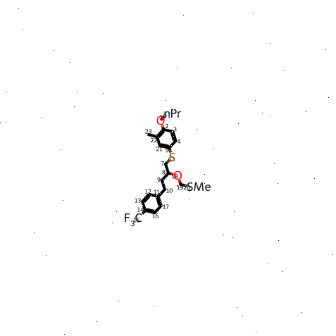 CCCOc1ccc(SCC(CCc2ccc(C(F)(F)F)cc2)OCSC)cc1C